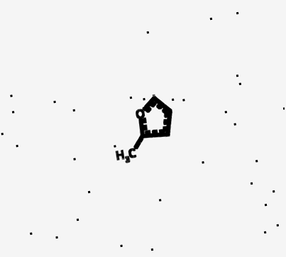 Cc1cc[c]o1